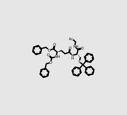 CC(=O)CNC(=O)[C@H](CSC(c1ccccc1)(c1ccccc1)c1ccccc1)NC(=O)CC[C@@H](NC(=O)OCc1ccccc1)C(=O)OCc1ccccc1